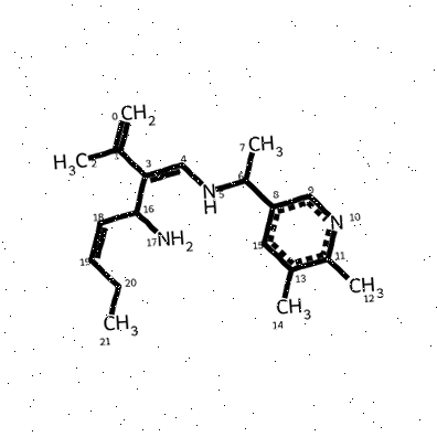 C=C(C)/C(=C/NC(C)c1cnc(C)c(C)c1)C(N)/C=C\CC